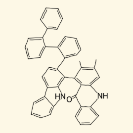 Cc1cc2[nH]c3ccccc3c(=O)c2c(-c2c(-c3ccccc3-c3ccccc3-c3ccccc3)ccc3c2[nH]c2ccccc23)c1C